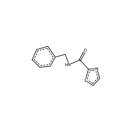 O=C(NCc1ccccc1)c1nccs1